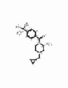 C[C@@H]1CN(CC2CC2)CCN1C(=O)c1ccc([C@](C)(O)C(F)(F)F)cc1